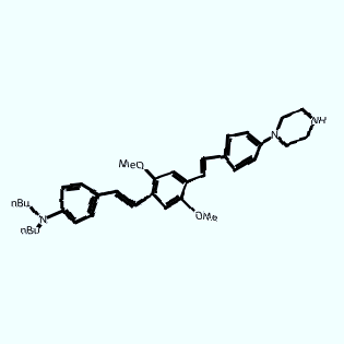 CCCCN(CCCC)c1ccc(/C=C/c2cc(OC)c(/C=C/c3ccc(N4CCNCC4)cc3)cc2OC)cc1